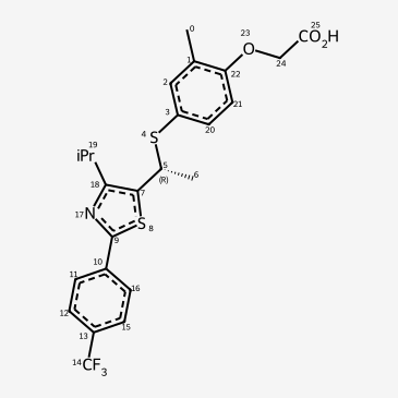 Cc1cc(S[C@H](C)c2sc(-c3ccc(C(F)(F)F)cc3)nc2C(C)C)ccc1OCC(=O)O